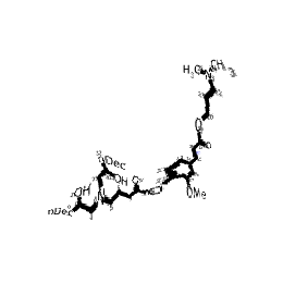 CCCCCCCCCCC(O)CN(CCCC(=O)Oc1ccc(/C=C/C(=O)OCCCN(C)C)cc1OC)CC(O)CCCCCCCCCC